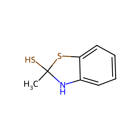 CC1(S)Nc2ccccc2S1